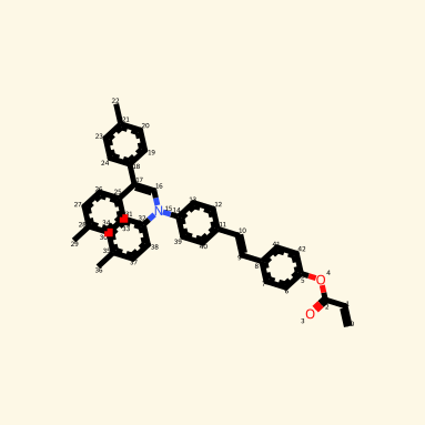 C=CC(=O)Oc1ccc(C=Cc2ccc(N(C=C(c3ccc(C)cc3)c3ccc(C)cc3)c3ccc(C)cc3)cc2)cc1